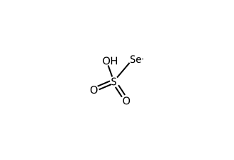 O=S(=O)(O)[Se]